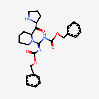 O=C(N=C(NC(=O)OCc1ccccc1)N1CCC[CH]C1C(=O)[C@@H]1CCCN1)OCc1ccccc1